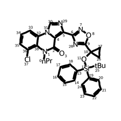 CCCn1c(=O)c2c(-c3noc(C4(O[Si](c5ccccc5)(c5ccccc5)C(C)(C)C)CC4)n3)ncn2c2cccc(Cl)c21